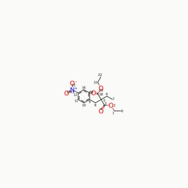 CCOC(=O)C(CC)(Cc1ccc([N+](=O)[O-])cc1)C(=O)OCC